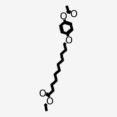 CCOC(=O)CCCCCCCCCCOc1ccc(OC(C)=O)cc1